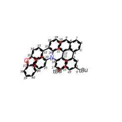 CC(C)(C)c1cc(-c2cccc3cccc(-c4ccccc4N(c4ccccc4)c4ccccc4-c4ccc5oc6ccccc6c5c4)c23)cc(C(C)(C)C)c1